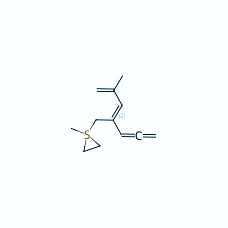 C=C=C/C(=C/C(=C)C)CS1(C)CC1